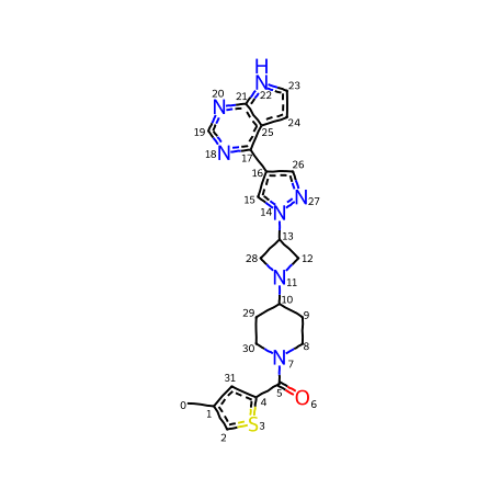 Cc1csc(C(=O)N2CCC(N3CC(n4cc(-c5ncnc6[nH]ccc56)cn4)C3)CC2)c1